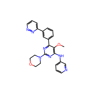 COc1c(Nc2cccnc2)nc(N2CCOCC2)nc1-c1cccc(-c2cccnn2)c1